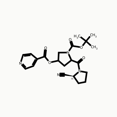 CC(C)(C)OC(=O)N1CC(OC(=O)c2ccncc2)CC1C(=O)N1CCC[C@H]1C#N